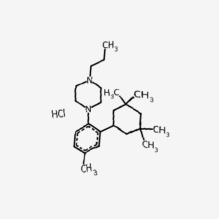 CCCN1CCN(c2ccc(C)cc2C2CC(C)(C)CC(C)(C)C2)CC1.Cl